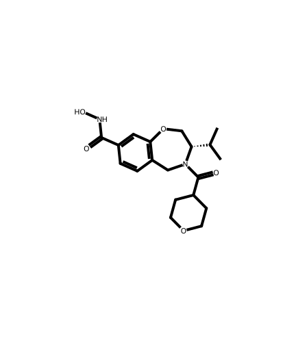 CC(C)[C@H]1COc2cc(C(=O)NO)ccc2CN1C(=O)C1CCOCC1